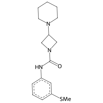 CSc1cccc(NC(=O)N2CC(N3CCCCC3)C2)c1